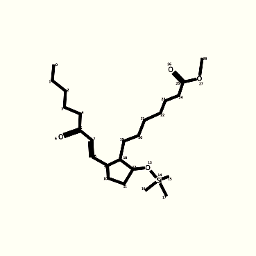 CCCCCC(=O)C=CC1CCC(O[Si](C)(C)C)C1CCCCCCC(=O)OC